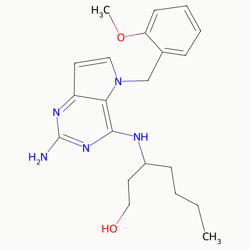 CCCCC(CCO)Nc1nc(N)nc2ccn(Cc3ccccc3OC)c12